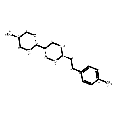 CCCC[C@H]1CO[C@H]([C@H]2CO[C@H](CCc3ccc(C(F)(F)F)cc3)OC2)OC1